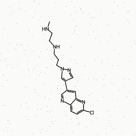 CNCCNCCCn1cc(-c2cnc3ccc(Cl)nc3c2)cn1